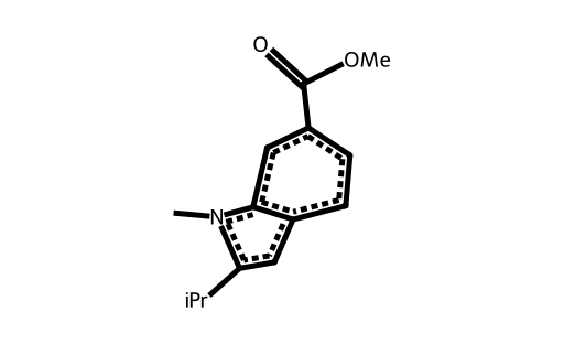 COC(=O)c1ccc2cc(C(C)C)n(C)c2c1